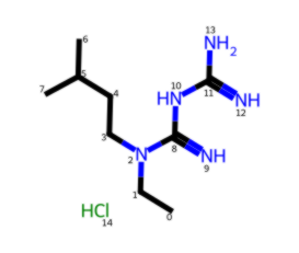 CCN(CCC(C)C)C(=N)NC(=N)N.Cl